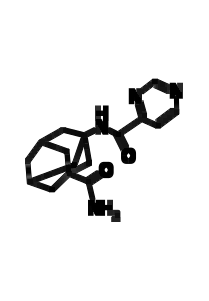 NC(=O)C12CC3CC(CC(NC(=O)c4ccncn4)(C3)C1)C2